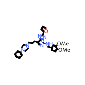 COc1ccc(CNc2ncc(CCCN3CCN(c4ccccc4)CC3)c3nc(-c4ccco4)nn23)cc1OC